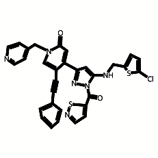 O=C(c1ccns1)n1nc(-c2cc(=O)n(Cc3ccncc3)cc2C#Cc2ccccc2)cc1NCc1ccc(Cl)s1